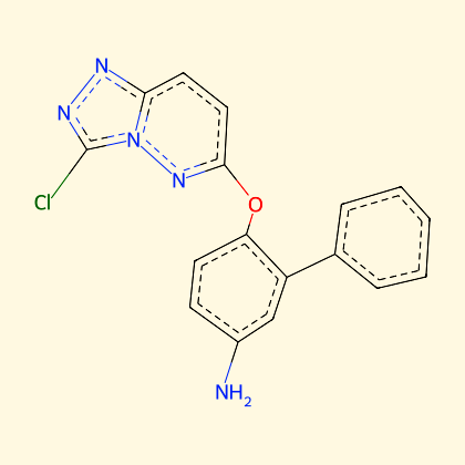 Nc1ccc(Oc2ccc3nnc(Cl)n3n2)c(-c2ccccc2)c1